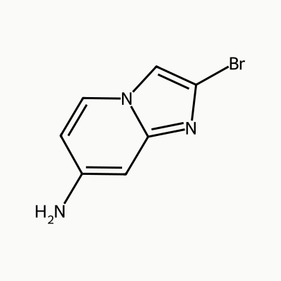 Nc1ccn2cc(Br)nc2c1